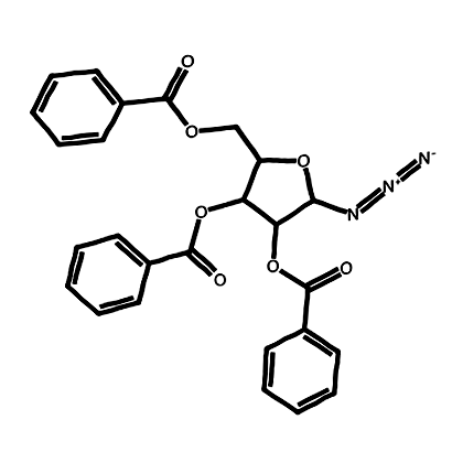 [N-]=[N+]=NC1OC(COC(=O)c2ccccc2)C(OC(=O)c2ccccc2)C1OC(=O)c1ccccc1